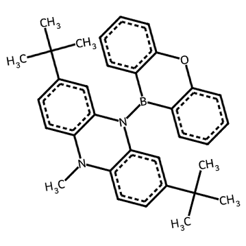 CN1c2ccc(C(C)(C)C)cc2N(B2c3ccccc3Oc3ccccc32)c2cc(C(C)(C)C)ccc21